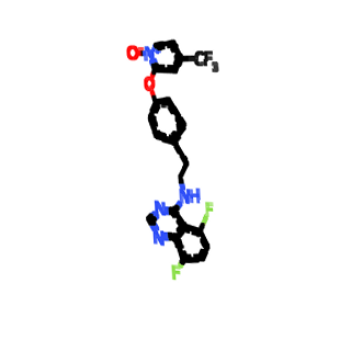 [O-][n+]1ccc(C(F)(F)F)cc1Oc1ccc(CCNc2ncnc3c(F)ccc(F)c23)cc1